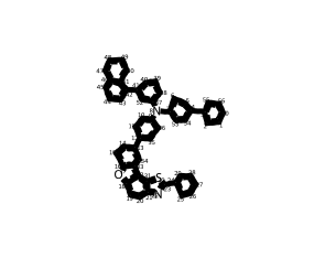 c1ccc(-c2ccc(N(c3ccc(-c4ccc5oc6ccc7nc(-c8ccccc8)sc7c6c5c4)cc3)c3cccc(-c4cccc5ccccc45)c3)cc2)cc1